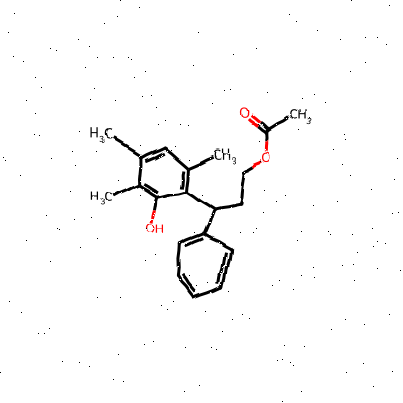 CC(=O)OCCC(c1ccccc1)c1c(C)cc(C)c(C)c1O